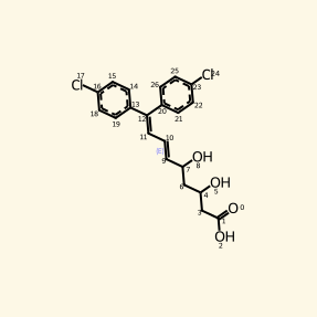 O=C(O)CC(O)CC(O)/C=C/C=C(c1ccc(Cl)cc1)c1ccc(Cl)cc1